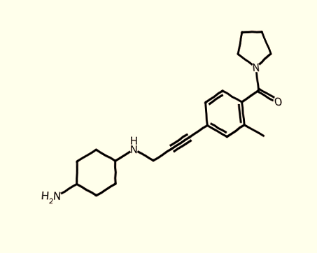 Cc1cc(C#CCNC2CCC(N)CC2)ccc1C(=O)N1CCCC1